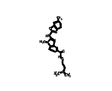 CN(C)CCONC(=O)c1ccc2c(c1)nc(Nc1nc3ccc(C(F)(F)F)cc3o1)n2C